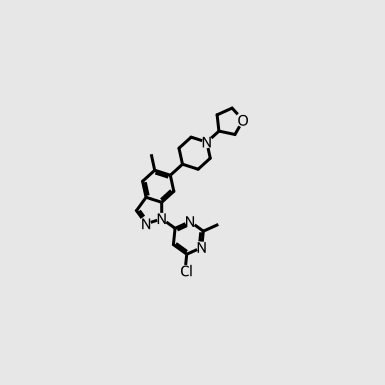 Cc1nc(Cl)cc(-n2ncc3cc(C)c(C4CCN(C5CCOC5)CC4)cc32)n1